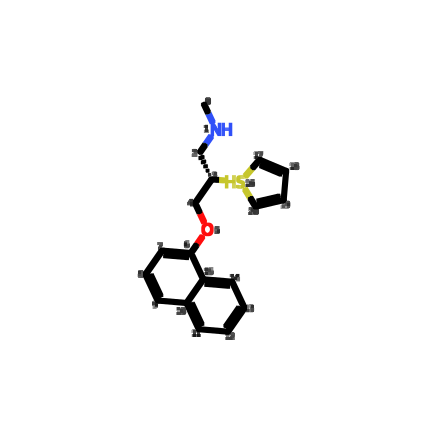 CNC[C@@H](COc1cccc2ccccc12)[SH]1C=CC=C1